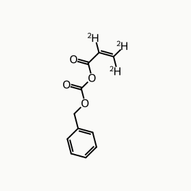 [2H]C([2H])=C([2H])C(=O)OC(=O)OCc1ccccc1